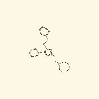 c1ccc(COc2nn(CCN3CCCCCC3)cc2-c2ccccc2)cc1